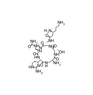 NCCC[C@H](N)CC(=O)NC[C@@H]1NC(=O)[C@H](CO)NC(=O)[C@@H](N)CNC(=O)[C@H]([C@@H]2CCNC(N)=N2)NC(=O)/C(=C/NC(N)=O)NC1=O